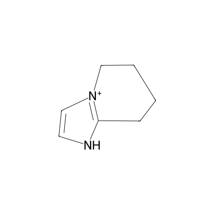 c1c[n+]2c([nH]1)CCCC2